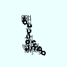 C=CC(=O)Nc1cc(Nc2nc(-c3ccnc(N4CCc5c(sc6c5CCCC6)C4=O)c3CO)cnc2C(N)=O)ccc1N1CCN(C2CCN(c3ccnc(C4CCC(C)(OP(=O)(O)O)CC4)c3)[C@H](C)C2)C[C@@H]1C